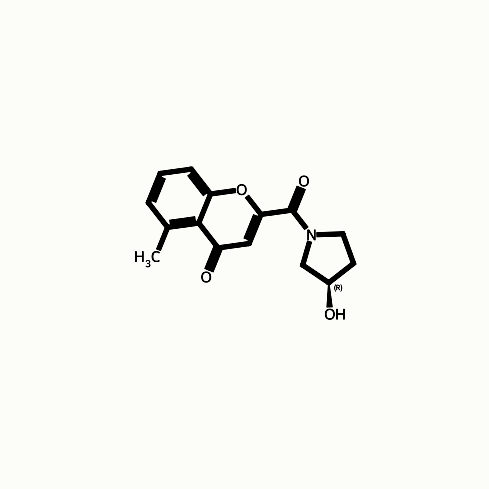 Cc1cccc2oc(C(=O)N3CC[C@@H](O)C3)cc(=O)c12